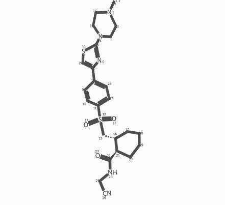 CC(C)N1CCN(c2nc(-c3ccc(S(=O)(=O)C[C@@H]4CCCC[C@H]4C(=O)NCC#N)cc3)cs2)CC1